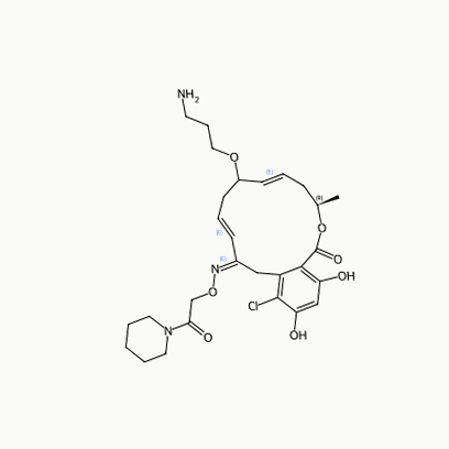 C[C@@H]1C/C=C/C(OCCCN)C/C=C/C(=N/OCC(=O)N2CCCCC2)Cc2c(Cl)c(O)cc(O)c2C(=O)O1